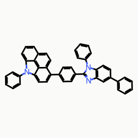 c1ccc(-c2ccc3c(c2)nc(-c2ccc(-c4ccc5c6c4ccc4cccc(c46)n5-c4ccccc4)cc2)n3-c2ccccc2)cc1